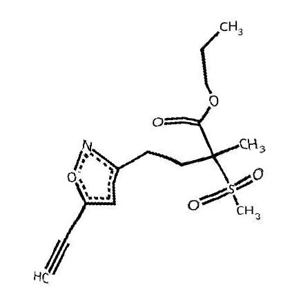 C#Cc1cc(CCC(C)(C(=O)OCC)S(C)(=O)=O)no1